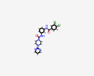 O=C(Nc1cccc(NC(=O)N2CCN(c3ncccn3)CC2)c1)c1ccc(Cl)c(Cl)c1